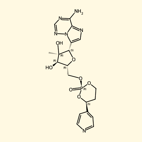 C[C@@]1(O)[C@H](O)[C@@H](CO[P@@]2(=O)OCC[C@@H](c3ccncc3)O2)O[C@H]1c1cnc2c(N)ncnn12